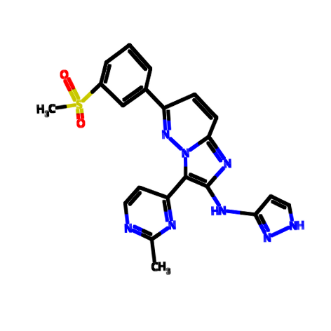 Cc1nccc(-c2c(Nc3cc[nH]n3)nc3ccc(-c4cccc(S(C)(=O)=O)c4)nn23)n1